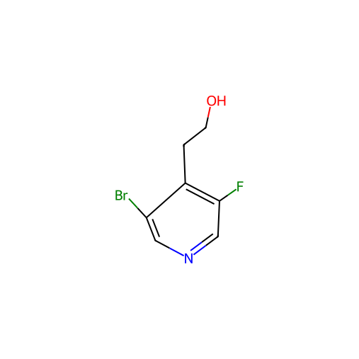 OCCc1c(F)cncc1Br